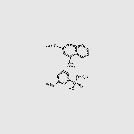 CC(=O)Nc1cccc([As](=O)(O)OO)c1.O=C(O)c1cc([N+](=O)[O-])c2ccccc2c1